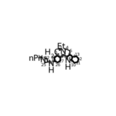 C=C(CC)N1CCc2c([nH]c3ccccc23)[C@H]1c1ccc(NC2CN(CCC)C2)cc1